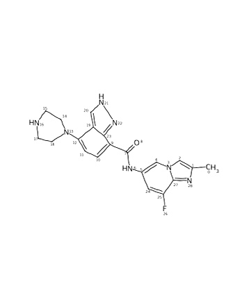 Cc1cn2cc(NC(=O)c3ccc(N4CCNCC4)c4c[nH]nc34)cc(F)c2n1